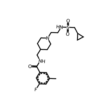 Cc1cc(F)cc(C(=O)NCC2CCN(CCNS(=O)(=O)CC3CC3)CC2)c1